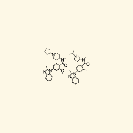 COc1cc(-n2c(C)nc3ccccc32)ccc1C(=O)N(C)C1CCN(C2CCCC2)CC1.Cc1cc(-n2c(C)nc3ccccc32)ccc1C(=O)N(C)[C@@H]1CCN(C(C)C)C1